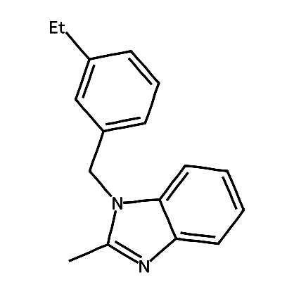 CCc1cccc(Cn2c(C)nc3ccccc32)c1